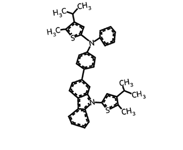 Cc1sc(N(c2ccccc2)c2ccc(-c3ccc4c5ccccc5n(-c5cc(C(C)C)c(C)s5)c4c3)cc2)cc1C(C)C